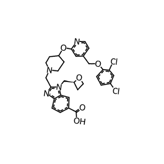 O=C(O)c1ccc2nc(CN3CCC(Oc4cc(COc5ccc(Cl)cc5Cl)ccn4)CC3)n(C[C@@H]3CCO3)c2c1